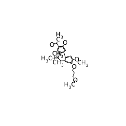 COCCCOc1cc2c(cc1OC)-c1cc(=O)c(C(C)=O)cn1[C@H](C(C)(C)C)C2